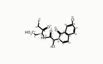 CCC(C(=O)N[C@@H](CC(=O)O)C(=O)CF)n1ccc2ccc(Cl)cc2c1=O